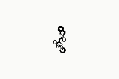 O=C1N=C(N2CCCCC2)SC1CC(=O)N1CCc2ccccc2C1